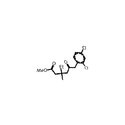 CCC(C)(CC(=O)Cc1ccc(Cl)cc1Cl)CC(=O)OC